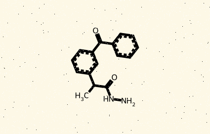 CC(C(=O)NN)c1cccc(C(=O)c2ccccc2)c1